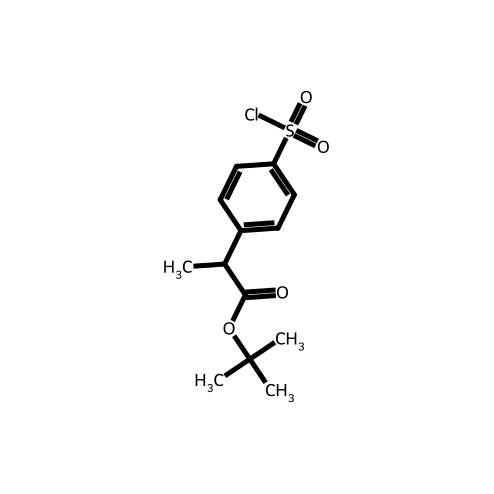 CC(C(=O)OC(C)(C)C)c1ccc(S(=O)(=O)Cl)cc1